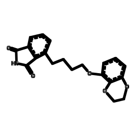 O=C1NC(=O)c2c(CCCCOc3cccc4c3OCCO4)cccc21